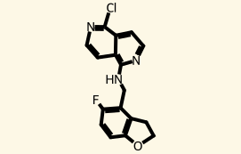 Fc1ccc2c(c1CNc1nccc3c(Cl)nccc13)CCO2